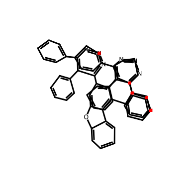 c1ccc(-c2ccccc2-c2c(-c3nnnc(-c4ccccc4)c3-c3ccccc3)cc3oc4ccccc4c3c2-c2ccccc2-c2nnnc(-c3ccccc3)c2-c2ccccc2)cc1